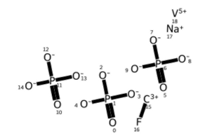 O=P([O-])([O-])[O-].O=P([O-])([O-])[O-].O=P([O-])([O-])[O-].[C+3]F.[Na+].[V+5]